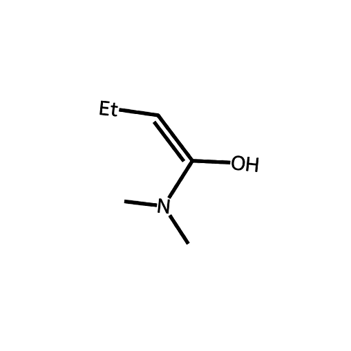 CC/C=C(/O)N(C)C